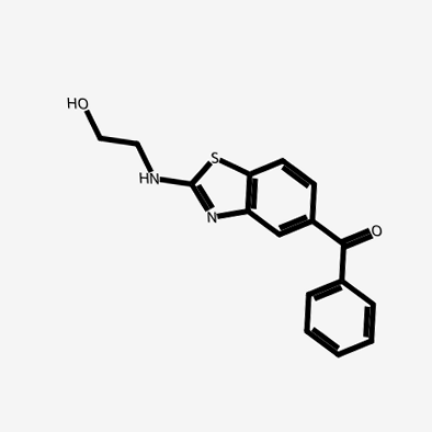 O=C(c1ccccc1)c1ccc2sc(NCCO)nc2c1